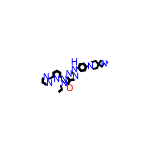 C=CCn1c(=O)c2cnc(Nc3ccc(N4CCC5(CC4)CN(C)C5)cc3)nc2n1-c1cccc(-c2ncccn2)n1